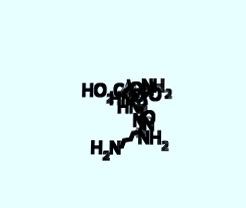 C[C@@H](O)[C@H](NC(=O)N[C@@H](CCC(N)=O)c1nc([C@@H](N)CCCCN)no1)C(=O)O